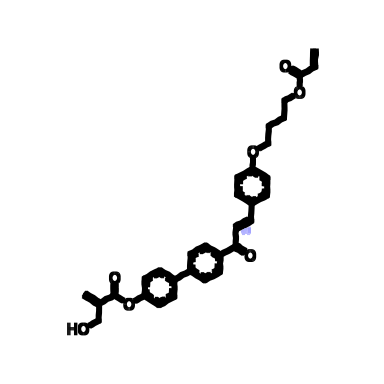 C=CC(=O)OCCCCOc1ccc(/C=C/C(=O)c2ccc(-c3ccc(OC(=O)C(=C)CO)cc3)cc2)cc1